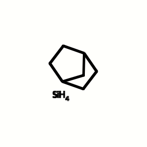 C1CC2CCC1C2.[SiH4]